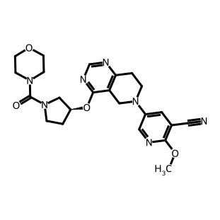 COc1ncc(N2CCc3ncnc(O[C@H]4CCN(C(=O)N5CCOCC5)C4)c3C2)cc1C#N